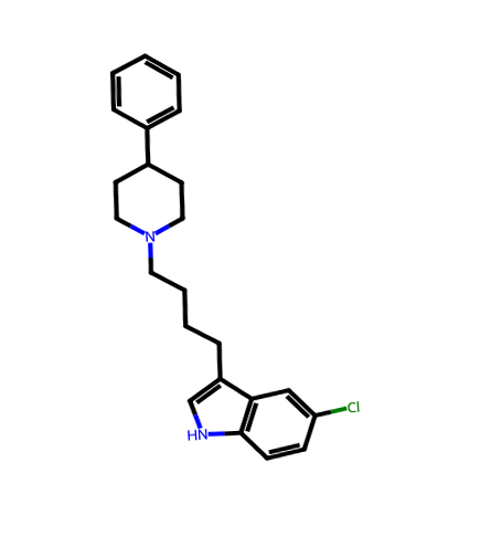 Clc1ccc2[nH]cc(CCCCN3CCC(c4ccccc4)CC3)c2c1